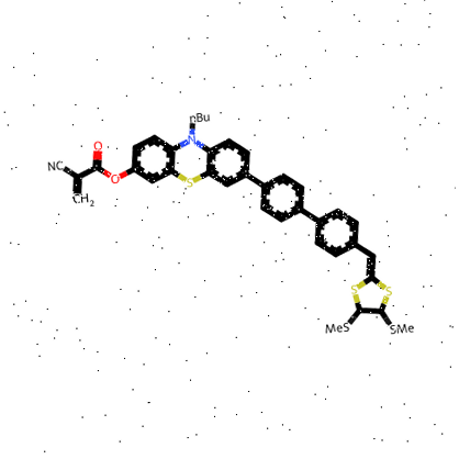 C=C(C#N)C(=O)Oc1ccc2c(c1)Sc1cc(-c3ccc(-c4ccc(C=C5SC(SC)C(SC)S5)cc4)cc3)ccc1N2CCCC